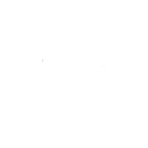 CC1(COCCCC(F)(F)F)COC1